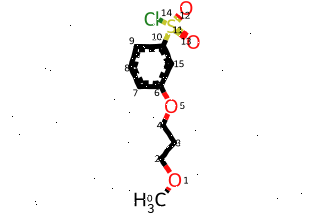 COCCCOc1cccc(S(=O)(=O)Cl)c1